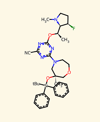 C[C@@H](Oc1nc(C#N)nc(N2CCOC[C@@](C)(O[Si](c3ccccc3)(c3ccccc3)C(C)(C)C)C2)n1)[C@@H]1[C@H](F)CCN1C